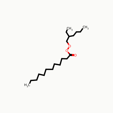 CCCCCCCCCCCC(=O)OOCC(CC)CCCC